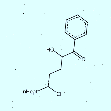 CCCCCCCC(Cl)CCC(O)C(=O)c1ccccc1